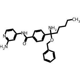 CCCCCC(N)(OCc1ccccc1)c1ccc(C(=O)Nc2ccnc(N)c2)cc1